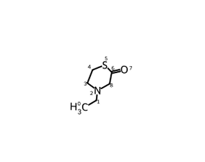 CCN1CCSC(=O)C1